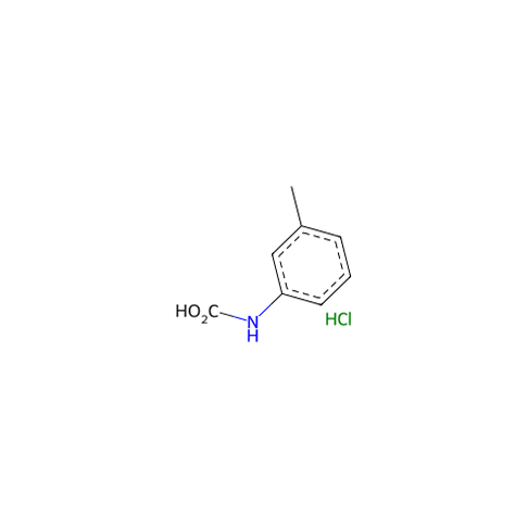 Cc1cccc(NC(=O)O)c1.Cl